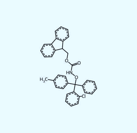 Cc1ccc(C(ONC(=O)OCC2c3ccccc3-c3ccccc32)(c2ccccc2)c2ccccc2Cl)cc1